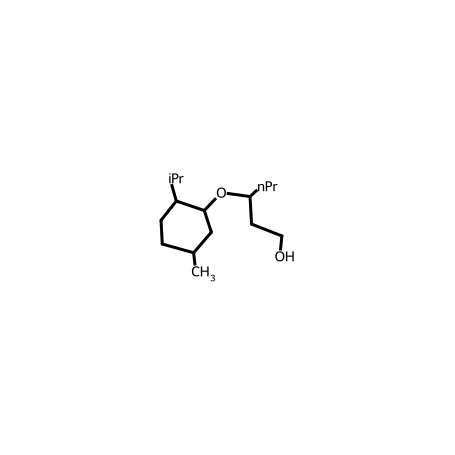 CCCC(CCO)OC1CC(C)CCC1C(C)C